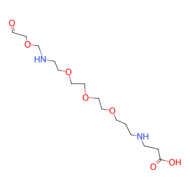 O=CCOCNCCOCCOCCOCCCNCCC(=O)O